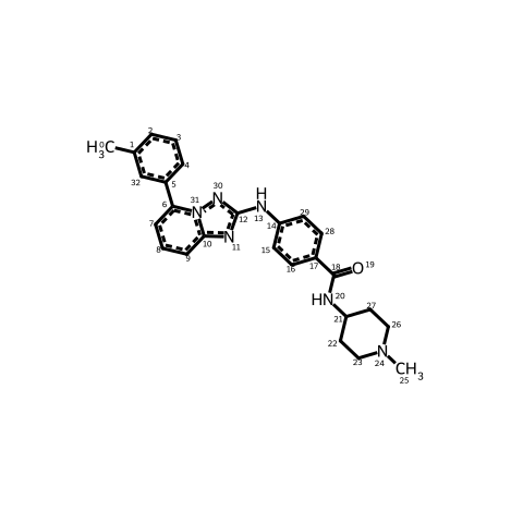 Cc1cccc(-c2cccc3nc(Nc4ccc(C(=O)NC5CCN(C)CC5)cc4)nn23)c1